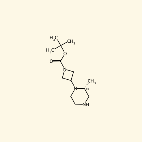 C[C@@H]1CNCCN1C1CN(C(=O)OC(C)(C)C)C1